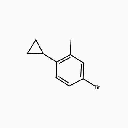 [CH2]c1cc(Br)ccc1C1CC1